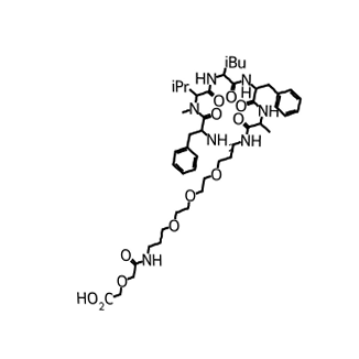 CCC(C)C(NC(=O)C(C(C)C)N(C)C(=O)C(N)Cc1ccccc1)C(=O)NC(Cc1ccccc1)C(=O)NC(C)C(=O)NCCCOCCOCCOCCCNC(=O)COCC(=O)O